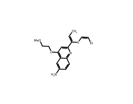 C/C=C(\S/C=C\CC)c1cc(OCCOC)c2cc(N)ccc2n1